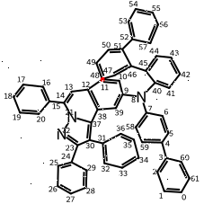 c1ccc(-c2ccc(N(c3ccc4cc(-c5ccccc5)n5nc(-c6ccccc6)c(-c6ccccc6)c5c4c3)c3ccccc3-c3ccccc3-c3ccccc3)cc2)cc1